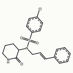 O=C1NCCCC1N(CC=Cc1ccccc1)S(=O)(=O)c1ccc(Cl)cc1